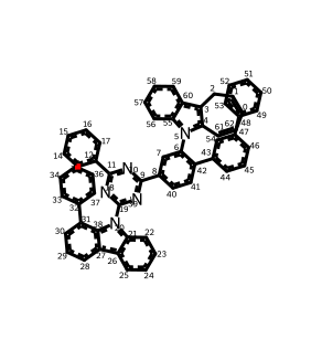 C1=CCc2c(n(-c3cc(-c4nc(-c5ccccc5)nc(-n5c6ccccc6c6cccc(-c7ccccc7)c65)n4)ccc3-c3cccc(-c4ccccc4)c3)c3ccccc23)C=C1